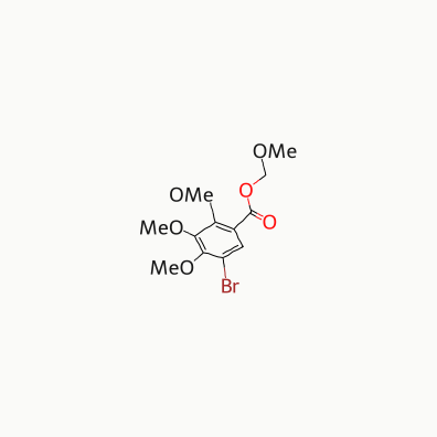 COCOC(=O)c1cc(Br)c(OC)c(OC)c1OC